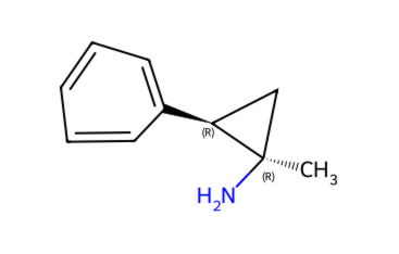 C[C@@]1(N)C[C@@H]1c1ccccc1